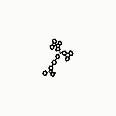 c1ccc(-n2c3ccccc3c3cc(-c4ccc(-c5ccc(N(c6ccc7c(c6)-c6ccccc6C76c7ccccc7-c7ccccc76)c6ccc7c8ccccc8c8ccccc8c7c6)cc5)cc4)ccc32)cc1